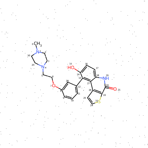 CN1CCN(CCOc2cccc(-c3c(O)ccc4[nH]c(=O)c5sccc5c34)c2)CC1